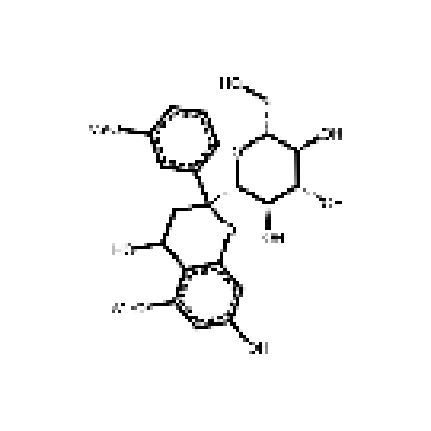 COc1cccc(C2([C@@H]3O[C@H](CO)[C@@H](O)[C@H](O)[C@H]3O)CC(O)c3c(OC)cc(O)cc3O2)c1